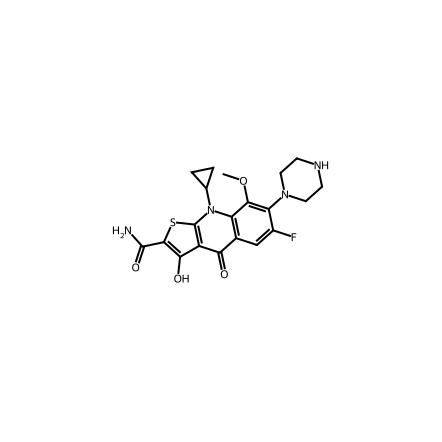 COc1c(N2CCNCC2)c(F)cc2c(=O)c3c(O)c(C(N)=O)sc3n(C3CC3)c12